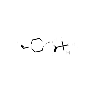 CC(C)(C)C(=O)ON1CCN(C=O)CC1